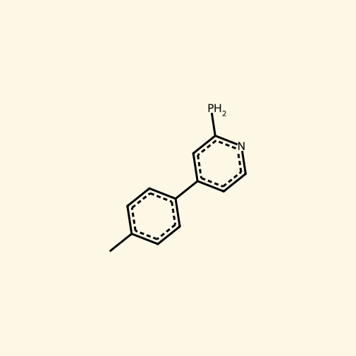 Cc1ccc(-c2ccnc(P)c2)cc1